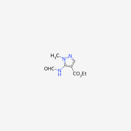 CCOC(=O)c1cnn(C)c1NC=O